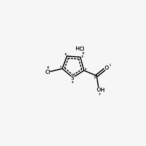 Cl.O=C(O)c1ccc(Cl)s1